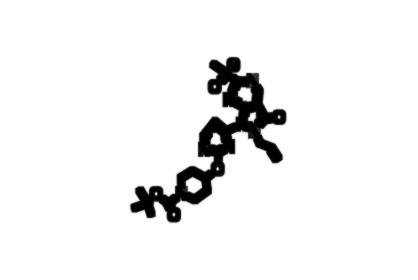 C=CCn1c(=O)c2cnc(S(C)(=O)=O)nc2n1-c1ccnc(OC2CCN(C(=O)OC(C)(C)C)CC2)n1